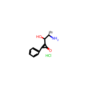 CC(C)[C@H](N)C(O)c1c(-c2ccccc2)c1=O.Cl